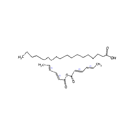 C/C=C/C=C/C(=O)OC(=O)/C=C/C=C/C.CCCCCCCCCCCCCCCCCC(=O)O